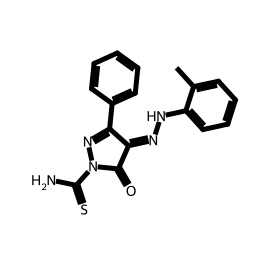 Cc1ccccc1N/N=C1/C(=O)N(C(N)=S)N=C1c1ccccc1